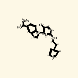 COC(O)c1ccc2c(c1)ncn2-c1nc(NCCc2ccncc2)ncc1Cl